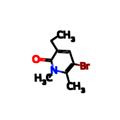 CCc1cc(Br)c(C)n(C)c1=O